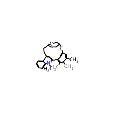 CC1=CC2=CC(=C(C)[C@@H]1C)c1cc(c3ccccc3[n+]1C)CCC1CCC(CC1)C2